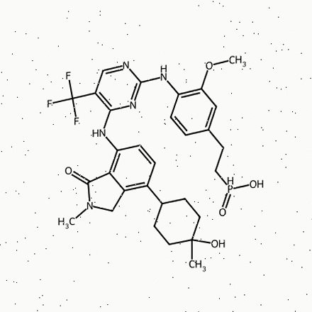 COc1cc(CC[PH](=O)O)ccc1Nc1ncc(C(F)(F)F)c(Nc2ccc(C3CCC(C)(O)CC3)c3c2C(=O)N(C)C3)n1